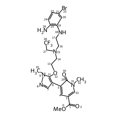 COC(=O)c1cc(-c2cnn(C)c2OCCN(CCNc2cc(Br)ccc2N)CC(F)(F)F)c(=O)n(C)c1